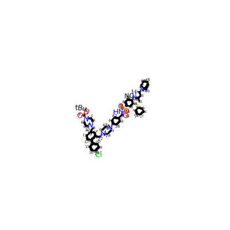 CC(C)(C)OC(=O)N1CCN(C[C@]2(C)CCC(c3ccc(Cl)cc3)=C(CN3CCN(c4ccc(C(=O)NS(=O)(=O)c5ccc(NC(CCN6CC7CCC6C7)CSc6ccccc6)c([N+](=O)[O-])c5)cc4)CC3)C2)CC1